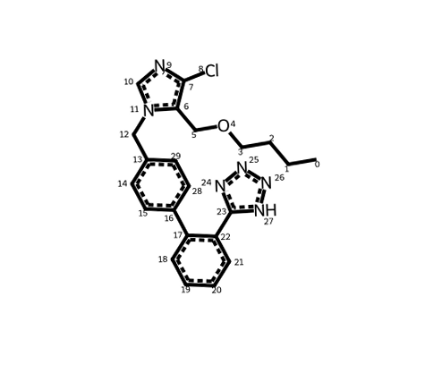 CCCCOCc1c(Cl)ncn1Cc1ccc(-c2ccccc2-c2nnn[nH]2)cc1